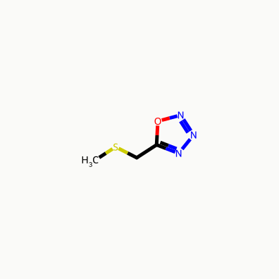 CSCc1nnno1